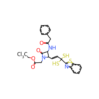 O=C(Cc1ccccc1)NC1C(=O)N(CC(=O)OCC(Cl)(Cl)Cl)C1C=CC(S)(S)c1nc2ccccc2s1